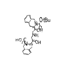 CC(C)(C)OC(=O)N1Cc2ccccc2C[C@@H]1[C@@H](O)CNC[C@H](O)[C@@H]1Cc2ccccc2CN1C(=O)O